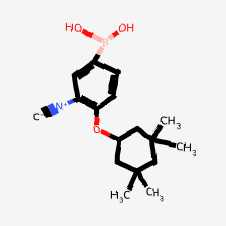 [C-]#[N+]c1cc(B(O)O)ccc1OC1CC(C)(C)CC(C)(C)C1